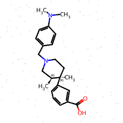 C[C@H]1CN(Cc2ccc(N(C)C)cc2)CC[C@@]1(C)c1cccc(C(=O)O)c1